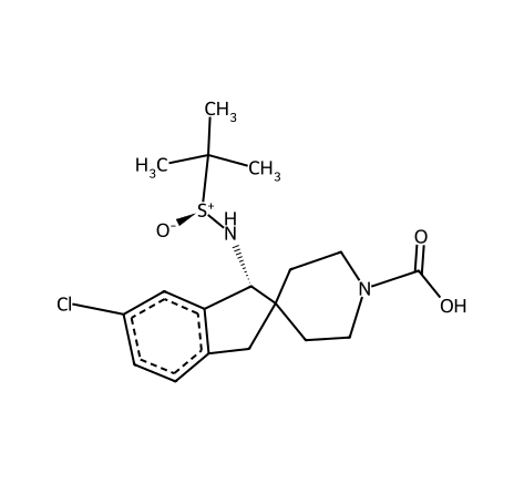 CC(C)(C)[S@+]([O-])N[C@H]1c2cc(Cl)ccc2CC12CCN(C(=O)O)CC2